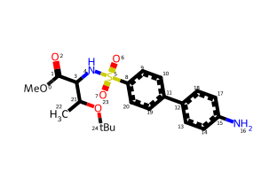 COC(=O)C(NS(=O)(=O)c1ccc(-c2ccc(N)cc2)cc1)C(C)OC(C)(C)C